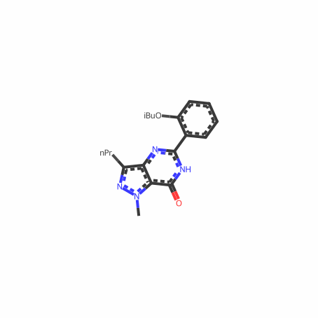 CCCc1nn(C)c2c(=O)[nH]c(-c3ccccc3OCC(C)C)nc12